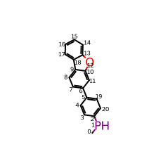 CPc1ccc(-c2ccc3c(c2)oc2ccccc23)cc1